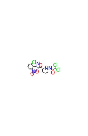 O=C(Nc1cccc(-c2cc(-c3c(Cl)cccc3[N+](=O)[O-])no2)c1)C(Cl)Cl